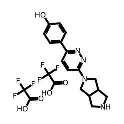 O=C(O)C(F)(F)F.O=C(O)C(F)(F)F.Oc1ccc(-c2ccc(N3CC4CNCC4C3)nn2)cc1